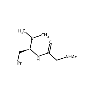 CB(C)[C@H](CC(C)C)NC(=O)CNC(C)=O